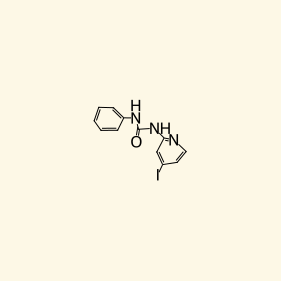 O=C(Nc1ccccc1)Nc1cc(I)ccn1